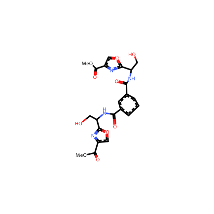 COC(=O)c1coc(C(CO)NC(=O)c2cccc(C(=O)NC(CO)c3nc(C(=O)OC)co3)c2)n1